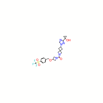 O=C(N1CC(OCc2ccc(S(=O)(=O)C(F)(F)F)cc2)C1)N1CC2(CC(n3cnc(C4(O)CC4)n3)C2)C1